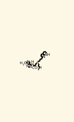 Cn1ncc2c(N[C@@H](CCN(CCCF)CCCCc3ccc4c(n3)NCCC4)C(=O)O)ncnc21